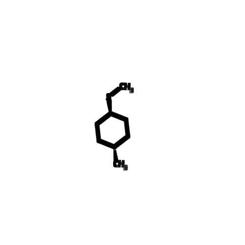 CS[C@H]1CC[C@H](C)CC1